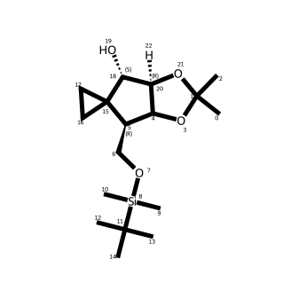 CC1(C)OC2[C@@H](CO[Si](C)(C)C(C)(C)C)C3(CC3)[C@H](O)[C@H]2O1